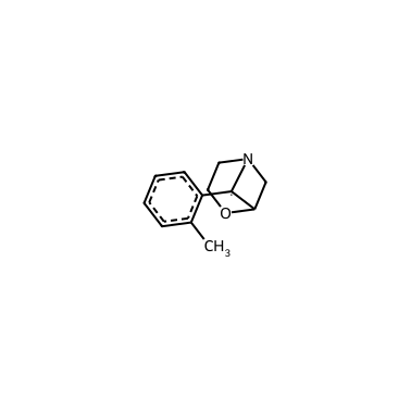 Cc1ccccc1[C]1C2CN1CCO2